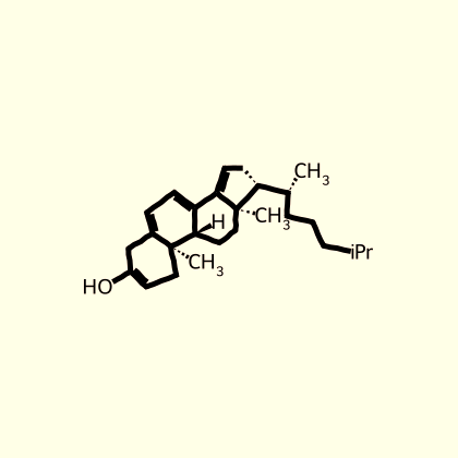 CC(C)CCC[C@@H](C)[C@H]1CC=C2C3=CC=C4CC(O)=CC[C@]4(C)[C@H]3CC[C@@]21C